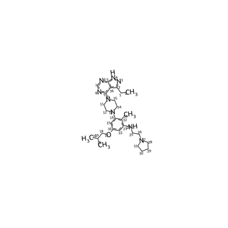 CCc1n[nH]c2ncnc(N3CCN(c4cc(OCC(C)C)cc(NCCN5CCCC5)c4C)CC3)c12